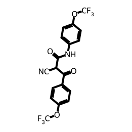 N#CC(C(=O)Nc1ccc(OC(F)(F)F)cc1)C(=O)c1ccc(OC(F)(F)F)cc1